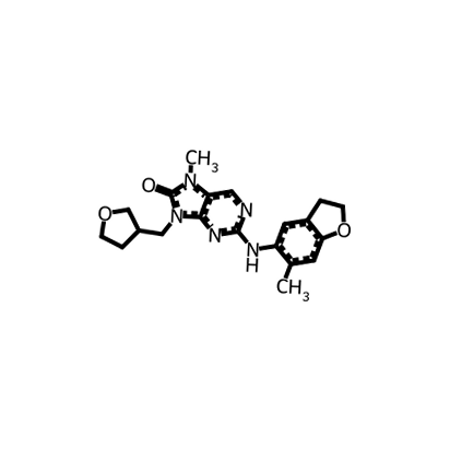 Cc1cc2c(cc1Nc1ncc3c(n1)n(CC1CCOC1)c(=O)n3C)CCO2